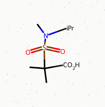 CC(C)N(C)S(=O)(=O)C(C)(C)C(=O)O